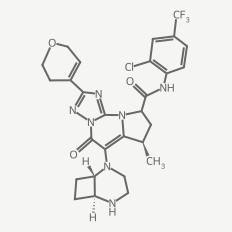 C[C@@H]1CC(C(=O)Nc2ccc(C(F)(F)F)cc2Cl)n2c1c(N1CCN[C@H]3CC[C@@H]31)c(=O)n1nc(C3=CCOCC3)nc21